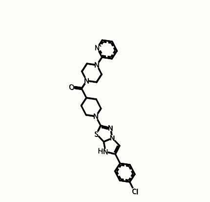 O=C(C1CCN(C2=NN3C=C(c4ccc(Cl)cc4)NC3S2)CC1)N1CCN(c2ccccn2)CC1